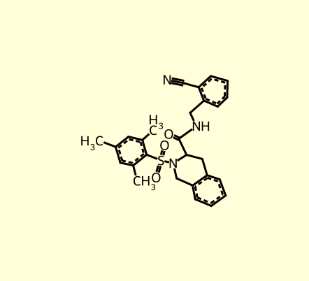 Cc1cc(C)c(S(=O)(=O)N2Cc3ccccc3CC2C(=O)NCc2ccccc2C#N)c(C)c1